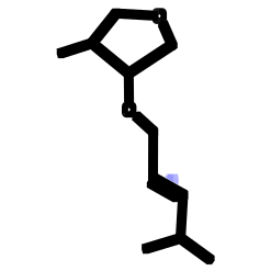 CC(C)/C=C/COC1COCC1C